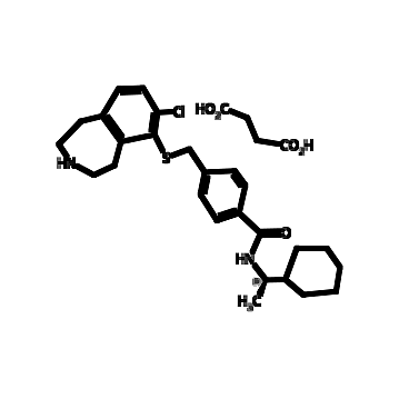 C[C@@H](NC(=O)c1ccc(CSc2c(Cl)ccc3c2CCNCC3)cc1)C1CCCCC1.O=C(O)CCC(=O)O